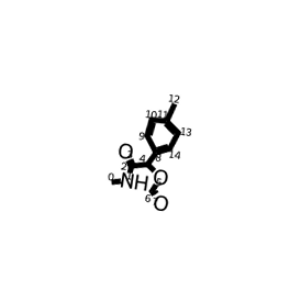 CNC(=O)C(OC=O)c1ccc(C)cc1